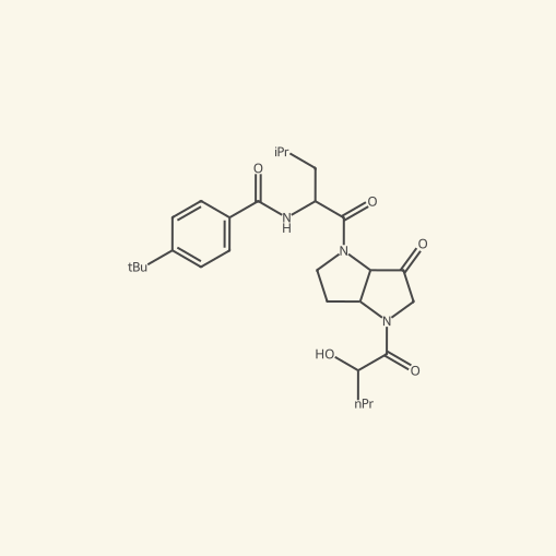 CCCC(O)C(=O)N1CC(=O)C2C1CCN2C(=O)C(CC(C)C)NC(=O)c1ccc(C(C)(C)C)cc1